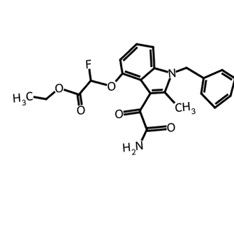 CCOC(=O)C(F)Oc1cccc2c1c(C(=O)C(N)=O)c(C)n2Cc1ccccc1